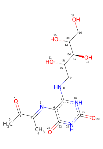 CC(=O)C(C)=Nc1c(NC[C@H](O)[C@H](O)[C@H](O)CO)[nH]c(=O)[nH]c1=O